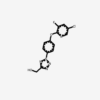 OCc1nnn(-c2ccc(Oc3ncc(Cl)cc3F)cc2)n1